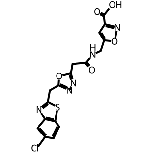 O=C(Cc1nnc(Cc2nc3cc(Cl)ccc3s2)o1)NCc1cc(C(=O)O)no1